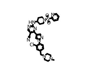 CN1CCN(Cc2ccc(-n3cc(-c4nc(NC5CCN(S(=O)(=O)c6ccccn6)CC5)ncc4C#N)cn3)c(Cl)c2)CC1